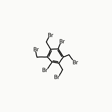 BrCc1c(Br)c(CBr)c(CBr)c(Br)c1CBr